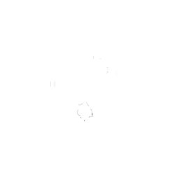 CC(C)(C)[Si](C)(C)OCCCC(Cc1cccnc1Cl)C(=O)O